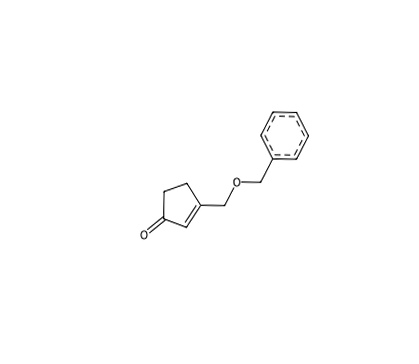 O=C1C=C(COCc2ccccc2)CC1